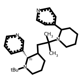 CC(C)(C)N1CCCC(CC(C)(C)N2CCCCC2c2ccncc2)[C@H]1c1cccnc1